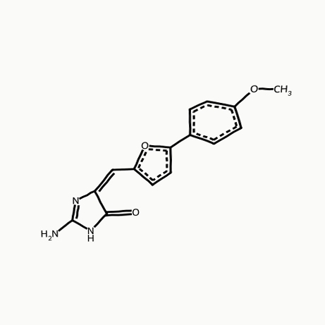 COc1ccc(-c2ccc(/C=C3/N=C(N)NC3=O)o2)cc1